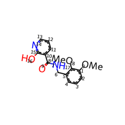 COc1cccc(CNC(=O)c2cccnc2O)c1OC